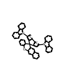 c1ccc2c(c1)Oc1cc3ccccc3cc1C21c2ccc(-n3c4ccccc4c4ccccc43)cc2-c2ccc(-n3c4ccccc4c4ccccc43)cc21